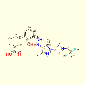 CC1=NN(C2CN(CC(F)(F)F)C2)C(=O)/C1=N\Nc1cccc(C2CCCC(C(=O)O)C2)c1O